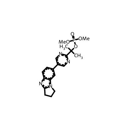 COP(=O)(OC)OC(C)(C)c1ncc(-c2ccc3nc4n(c3c2)CCC4)cn1